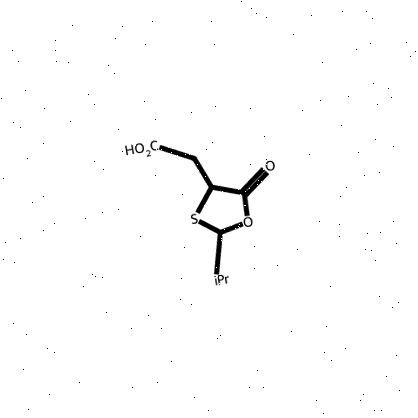 CC(C)C1OC(=O)C(CC(=O)O)S1